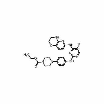 CCOC(=O)N1CCN(c2ccc(Nc3ncc(F)c(Nc4ccc5c(n4)NCCO5)n3)cc2)CC1